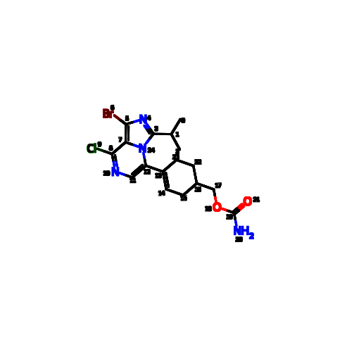 CC(C)c1nc(Br)c2c(Cl)ncc(C3=CCC(COC(N)=O)CC3)n12